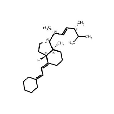 CC(C)[C@@H](C)C=C[C@@H](C)[C@H]1CC[C@H]2C(=CC=C3CCCCC3)CCC[C@]12C